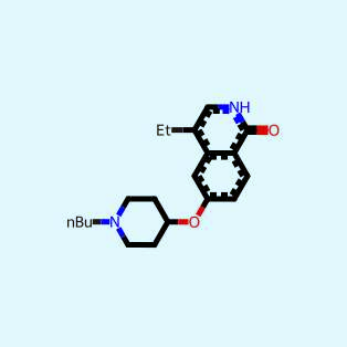 CCCCN1CCC(Oc2ccc3c(=O)[nH]cc(CC)c3c2)CC1